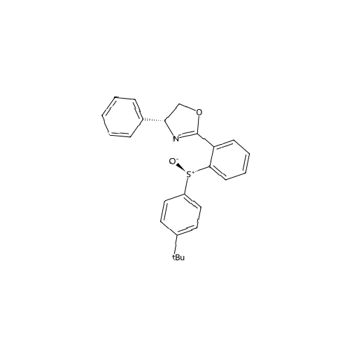 CC(C)(C)c1ccc([S@@+]([O-])c2ccccc2C2=N[C@H](c3ccccc3)CO2)cc1